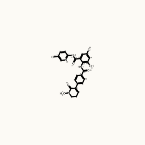 CN1CCC=C(c2ccc(C(=O)Nc3c(O)cc(Cl)cc3C(=O)Nc3ccc(Cl)cn3)cc2)C1=O